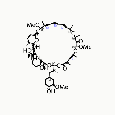 CO[C@H]1C[C@@H]2CC[C@@H](C)[C@@](O)(O2)[C@]2(O)C(=O)N3[C@H](C(=O)O[C@H]([C@H](C)C[C@@H]4CC[C@@H](O)[C@H](OC)C4)CC(=O)[C@H](C)/C=C(\C)C[C@@H](OC)C(=O)[C@H](C)C[C@H](C)/C=C/C=C/C=C/1C)C(O)CC[C@@H]32